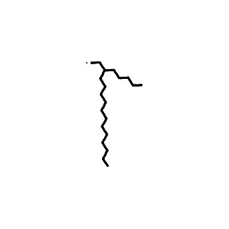 [CH2]CC(CCCCC)CCCCCCCCCCCC